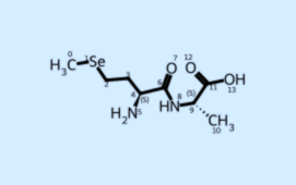 C[Se]CC[C@H](N)C(=O)N[C@@H](C)C(=O)O